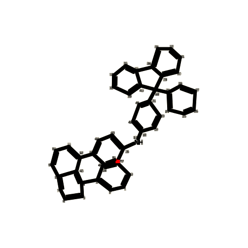 c1ccc(-c2cccc3cccc(-c4ccc(Nc5ccc(C6(c7ccccc7)c7ccccc7-c7ccccc76)cc5)cc4)c23)cc1